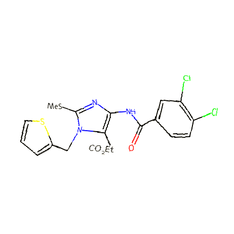 CCOC(=O)c1c(NC(=O)c2ccc(Cl)c(Cl)c2)nc(SC)n1Cc1cccs1